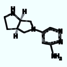 Nc1cc(N2C[C@H]3CCN[C@H]3C2)cnn1